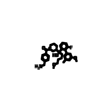 COCCCC[C@@](O)(c1cccc(F)c1-c1cc(C)cc(OC)c1)C1CCCN(C(=O)c2ccc(CN)cc2)C1